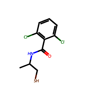 CC(CS)NC(=O)c1c(Cl)cccc1Cl